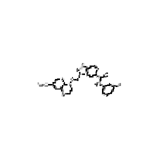 COc1ccc2c(OCc3nnc4ccc(C(=O)Nc5cccc(F)c5)cn34)ccnc2c1